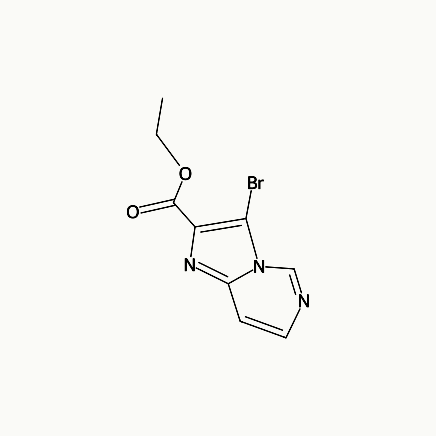 CCOC(=O)c1nc2ccncn2c1Br